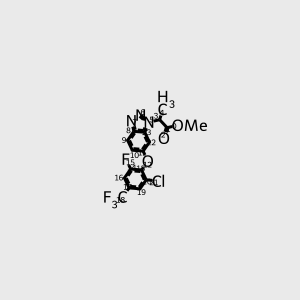 COC(=O)C(C)n1nnc2ccc(Oc3c(F)cc(C(F)(F)F)cc3Cl)cc21